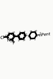 CCCCC[C@H]1CC[C@H](c2ccc(-c3ccc(Cl)nc3F)cc2)CC1